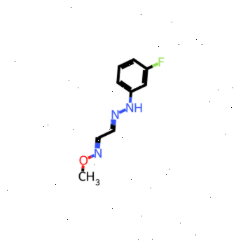 CO/N=C/C=N/Nc1cccc(F)c1